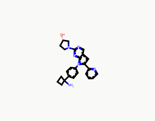 NC1(c2ccc(-n3c(-c4ccccn4)cc4cnc(N5CC[C@H](O)C5)nc43)cc2)CCC1